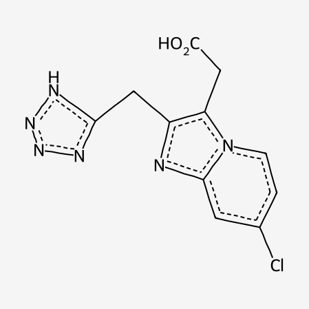 O=C(O)Cc1c(Cc2nnn[nH]2)nc2cc(Cl)ccn12